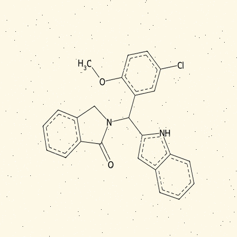 COc1ccc(Cl)cc1C(c1cc2ccccc2[nH]1)N1Cc2ccccc2C1=O